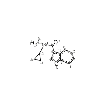 CN(C(=O)c1coc2ccccc12)C1CC1